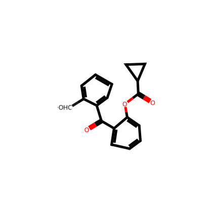 O=[C]c1ccccc1C(=O)c1ccccc1OC(=O)C1CC1